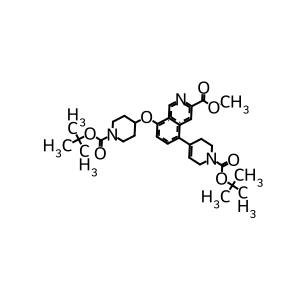 COC(=O)c1cc2c(C3=CCN(C(=O)OC(C)(C)C)CC3)ccc(OC3CCN(C(=O)OC(C)(C)C)CC3)c2cn1